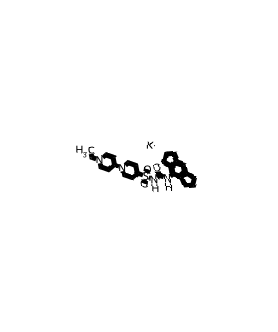 CCN1CCC(N2CCC(S(=O)(=O)NC(=O)Nc3c4c(cc5c3CCC5)CCC4)CC2)CC1.[K]